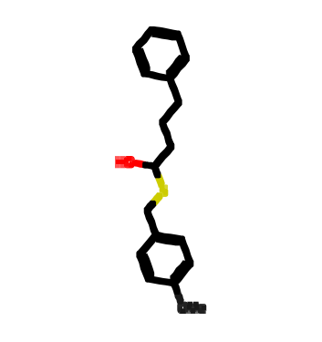 COc1ccc(CSC(O)CCCc2ccccc2)cc1